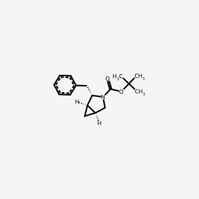 CC(C)(C)OC(=O)N1C[C@H]2C[C@H]2[C@@H]1Cc1ccccc1